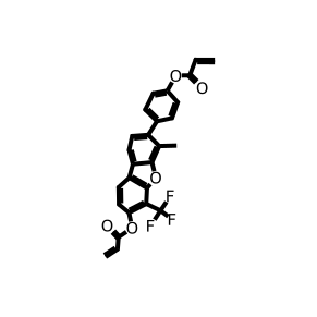 C=CC(=O)Oc1ccc(-c2ccc3c(oc4c(C(F)(F)F)c(OC(=O)C=C)ccc43)c2C)cc1